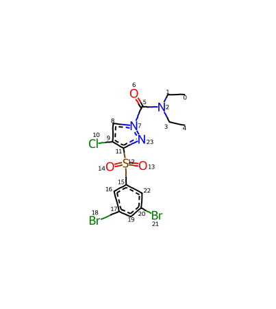 CCN(CC)C(=O)n1cc(Cl)c(S(=O)(=O)c2cc(Br)cc(Br)c2)n1